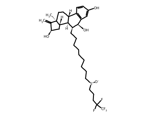 C=C1[C@H](O)C[C@H]2[C@@H]3[C@H](CCCCCCCCC[S+]([O-])CCCC(F)(F)C(F)(F)F)[C@H](O)c4cc(O)ccc4[C@H]3CC[C@]12C